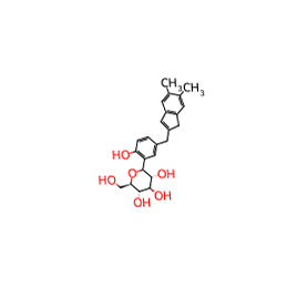 Cc1cc2c(cc1C)CC(Cc1ccc(O)c(C3O[C@H](CO)[C@@H](O)[C@H](O)[C@H]3O)c1)=C2